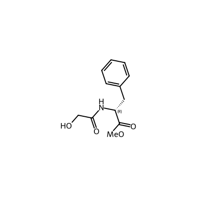 COC(=O)[C@@H](Cc1ccccc1)NC(=O)CO